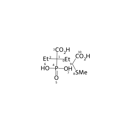 CCC(CC)(C(=O)O)P(=O)(O)O.CSCC(=O)O